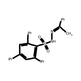 C/C(=N\NS(=O)(=O)c1c(C(C)C)cc(C(C)C)cc1C(C)C)C(C)C